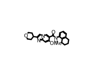 COc1cc2nc(C3CCOCC3)cn2cc1C(=O)Nc1cccc2c1CCCC2